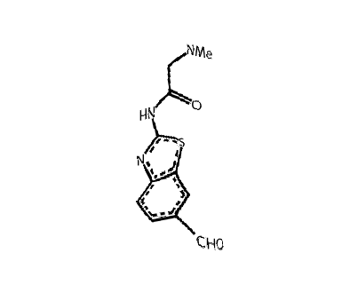 CNCC(=O)Nc1nc2ccc(C=O)cc2s1